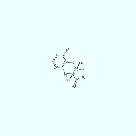 O=C1OC[C@H]2Cc3c(F)cccc3O[C@@H]12